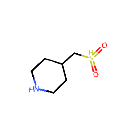 O=[SH](=O)CC1CCNCC1